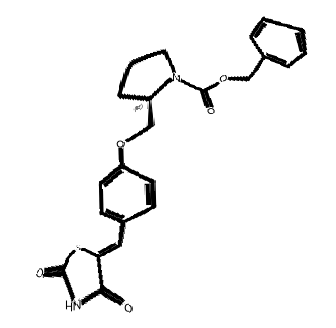 O=C1NC(=O)C(=Cc2ccc(OC[C@H]3CCCN3C(=O)OCc3ccccc3)cc2)S1